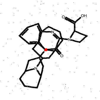 O=C(O)C1CCN1c1nc2ccccc2n(C2CC3CCCC(C2)N3C2CC3CCCCC(C3)C2)c1=O